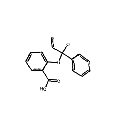 C=CC(Cl)(Oc1ccccc1C(=O)O)c1ccccc1